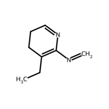 C=NC1=C(CC)CCC=N1